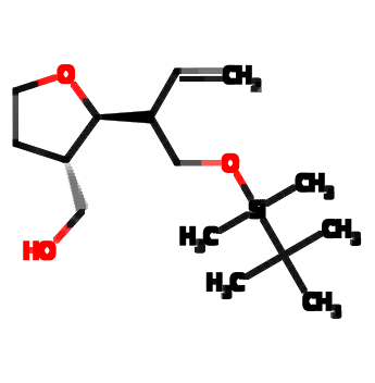 C=CC(CO[Si](C)(C)C(C)(C)C)[C@@H]1OCC[C@H]1CO